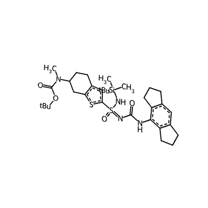 CN(C(=O)OC(C)(C)C)C1CCc2cc(S(=O)(=NC(=O)Nc3c4c(cc5c3CCC5)CCC4)N[Si](C)(C)C(C)(C)C)sc2C1